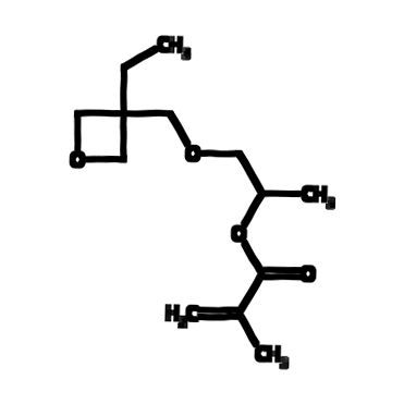 C=C(C)C(=O)OC(C)COCC1(CC)COC1